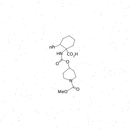 CCCC1CCCCC1(NC(=O)OC1CCN(C(=O)OC)CC1)C(=O)O